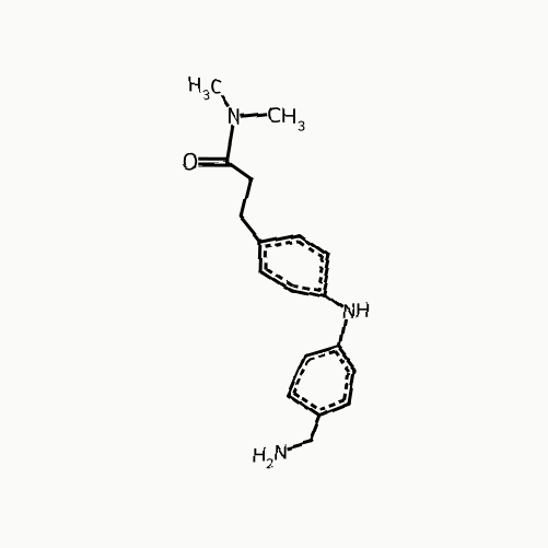 CN(C)C(=O)CCc1ccc(Nc2ccc(CN)cc2)cc1